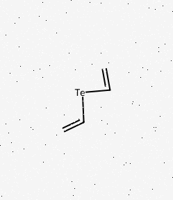 C=C[Te]C=C